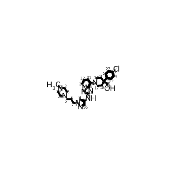 CN1CCN(CCCn2cc(Nc3nc4c(N5CCC(CO)(c6ccc(Cl)cc6)CC5)cccn4n3)cn2)CC1